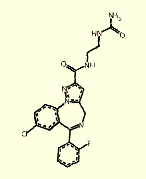 NC(=O)NCCNC(=O)c1cc2n(n1)-c1ccc(Cl)cc1C(c1ccccc1F)=NC2